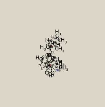 [2H]O[C@H]1[C@H](C)C23CCC(=O)C2C(C(C)C)(C(C(C)C)CC3)[C@H](OC(=O)CS[C@H]2C[C@@H]3CC(C)(C)[C@H](C2C)N3CC)C(C)[C@@]1(C)/C=C\C